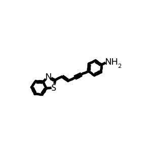 Nc1ccc(C#C/C=C/c2nc3ccccc3s2)cc1